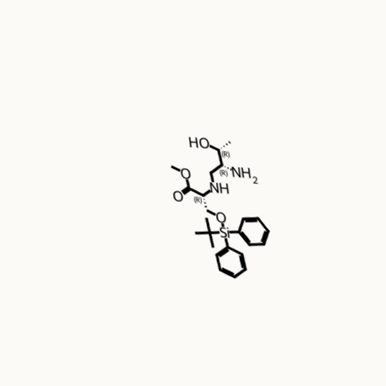 COC(=O)[C@@H](CO[Si](c1ccccc1)(c1ccccc1)C(C)(C)C)NC[C@@H](N)[C@@H](C)O